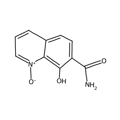 NC(=O)c1ccc2ccc[n+]([O-])c2c1O